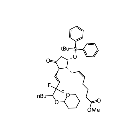 CCCCC(OC1CCCCO1)C(F)(F)/C=C/[C@H]1C(=O)C[C@H](O[Si](c2ccccc2)(c2ccccc2)C(C)(C)C)[C@@H]1C/C=C\CCCC(=O)OC